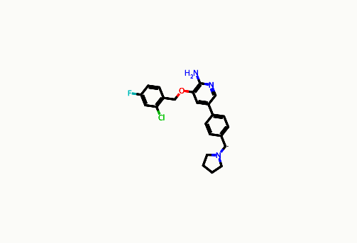 Nc1ncc(-c2ccc([CH]N3CCCC3)cc2)cc1OCc1ccc(F)cc1Cl